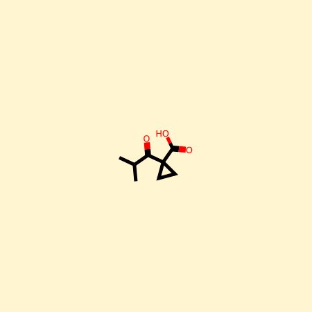 CC(C)C(=O)C1(C(=O)O)CC1